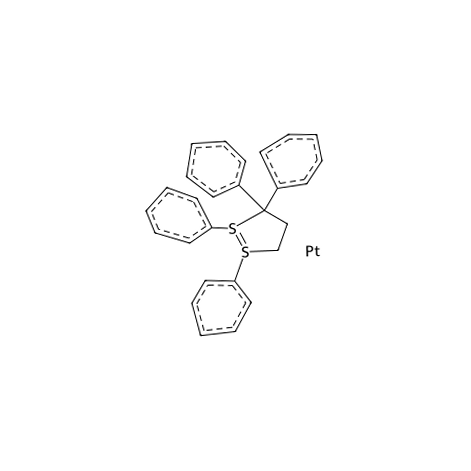 [Pt].c1ccc(S2=S(c3ccccc3)C(c3ccccc3)(c3ccccc3)CC2)cc1